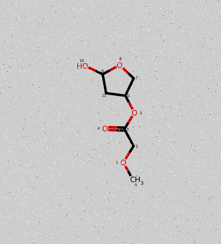 COCC(=O)OC1COC(O)C1